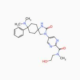 CN(CCO)C(=O)c1ncc(N2CC3(CCC(c4ccccc4)(N(C)C)CC3)NC2=O)cn1